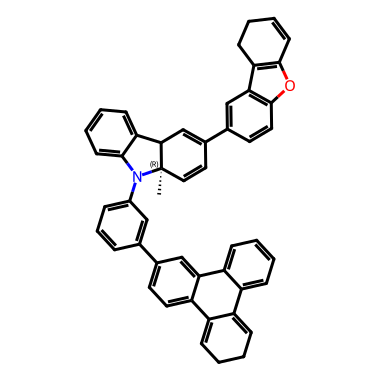 C[C@@]12C=CC(c3ccc4oc5c(c4c3)CCC=C5)=CC1c1ccccc1N2c1cccc(-c2ccc3c4c(c5ccccc5c3c2)=CCCC=4)c1